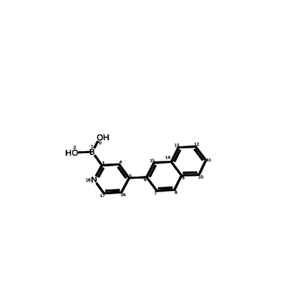 OB(O)c1cc(-c2ccc3ccccc3c2)ccn1